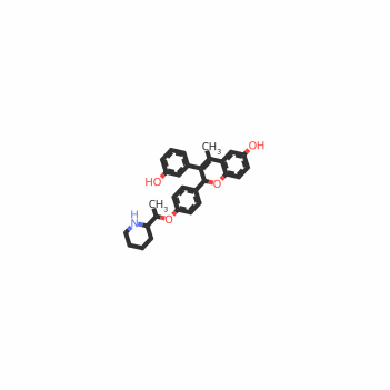 CC1=C(c2cccc(O)c2)C(c2ccc(OC(C)C3CCCCN3)cc2)Oc2ccc(O)cc21